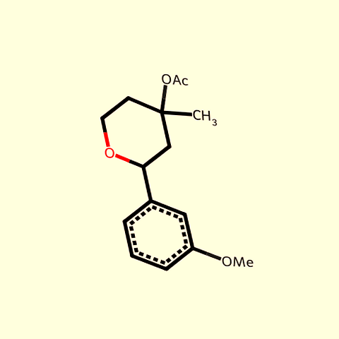 COc1cccc(C2CC(C)(OC(C)=O)CCO2)c1